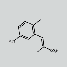 CC(=Cc1cc([N+](=O)[O-])ccc1C)C(=O)O